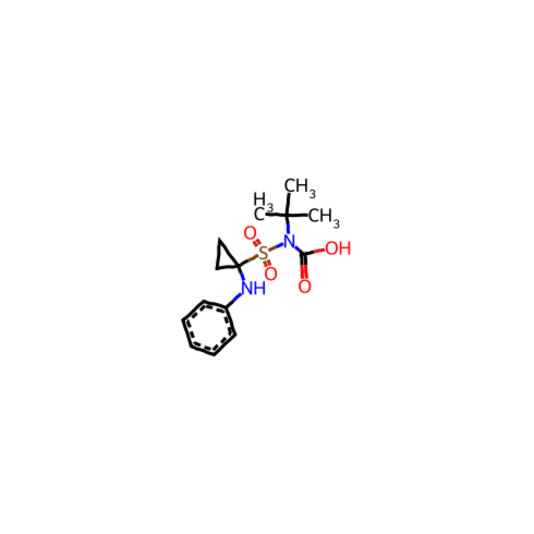 CC(C)(C)N(C(=O)O)S(=O)(=O)C1(Nc2ccccc2)CC1